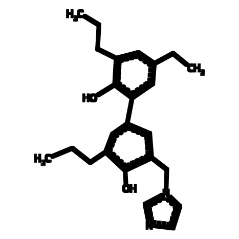 CCCc1cc(-c2cc(CC)cc(CCC)c2O)cc(Cn2ccnc2)c1O